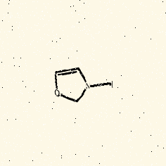 IN1C=COC1